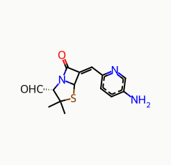 CC1(C)SC2/C(=C\c3ccc(N)cn3)C(=O)N2[C@H]1C=O